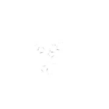 O=C(NC1CCC1)c1nn(Cc2ccc(Cl)cc2)c2c1CCCCC2Cc1cccc(Cl)c1